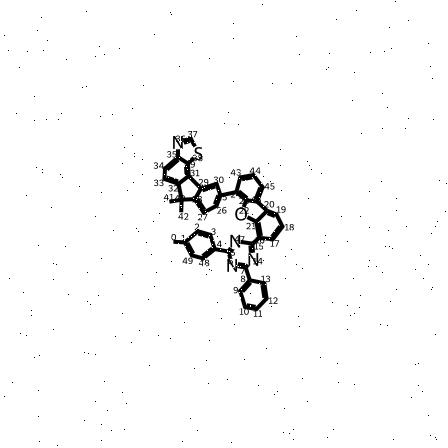 Cc1ccc(-c2nc(-c3ccccc3)nc(-c3cccc4c3oc3c(-c5ccc6c(c5)-c5c(ccc7ncsc57)C6(C)C)cccc34)n2)cc1